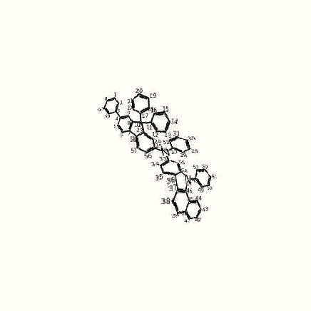 c1ccc(-c2ccc3c(c2)C(c2ccccc2)(c2ccccc2)c2cc(N(c4ccccc4)c4ccc5c6ccc7ccccc7c6n(-c6ccccc6)c5c4)ccc2-3)cc1